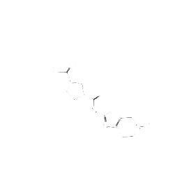 CC(=O)N1CCc2nc(NC(=O)C3CCN(C(=O)OC(C)(C)C)C3)sc2C1